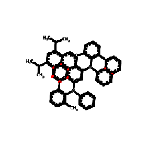 Cc1cccc(-c2ccccc2)c1N(c1ccccc1)c1cc(N(c2ccccc2)c2c(C)cccc2-c2ccccc2)c2ccc3c(C(C)C)cc(C(C)C)c4ccc1c2c43